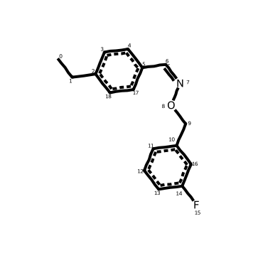 CCc1ccc(/[C]=N\OCc2cccc(F)c2)cc1